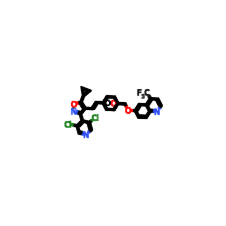 FC(F)(F)c1ccnc2ccc(OCC34CCC(/C=C/c5c(-c6c(Cl)cncc6Cl)noc5C5CC5)(CC3)CO4)cc12